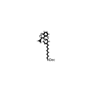 CCCCCCCCCCCCCCCCCCC1CCN(C(C(=O)C2CC2)c2ccccc2F)C(=S)C1